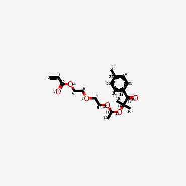 C=CC(=O)OCCOCCOC(C)OC(C)(C)C(=O)c1ccc(C)cc1